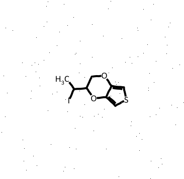 CC(I)C1COc2cscc2O1